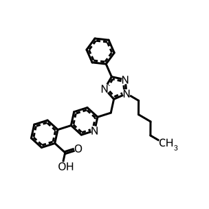 CCCCCn1nc(-c2ccccc2)nc1Cc1ccc(-c2ccccc2C(=O)O)cn1